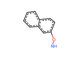 [NH]Oc1ccc2ccccc2c1